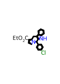 CCOC(=O)c1ccn2c1Cc1c([nH]c3ccccc13)C2c1ccc(Cl)cc1